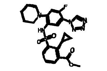 COC(=O)c1cccc(S(=O)(=O)Nc2cc(-n3cnnn3)c(F)cc2N2CCCCC2)c1C1CC1